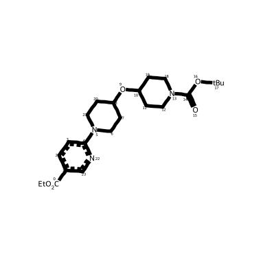 CCOC(=O)c1ccc(N2CCC(OC3CCN(C(=O)OC(C)(C)C)CC3)CC2)nc1